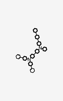 C1=CC(c2ccc(N(c3ccc(C4=CCCCC4)cc3)c3ccc(-c4ccc(N(c5ccccc5)c5ccc(-c6ccc(-c7ccccc7)cc6)cc5)cc4)cc3)cc2)=CCC1